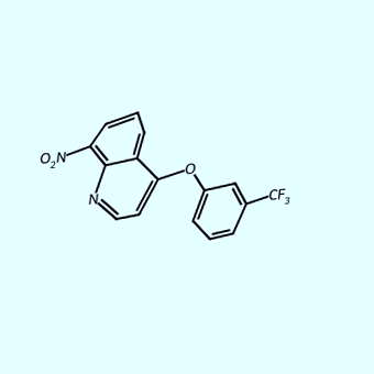 O=[N+]([O-])c1cccc2c(Oc3cccc(C(F)(F)F)c3)ccnc12